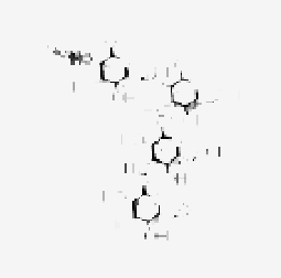 [Na+].[Na+].[Na+].[Na+].[O-]C1O[C@H](CO)[C@@H](O)[C@H](O)[C@@H]1O.[O-]C1O[C@H](CO)[C@@H](O)[C@H](O)[C@@H]1O.[O-]C1O[C@H](CO)[C@@H](O)[C@H](O)[C@@H]1O.[O-]C1O[C@H](CO)[C@@H](O)[C@H](O)[C@@H]1O